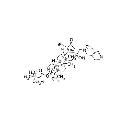 CC(C)C1=C2[C@H]3CC[C@@H]4[C@@]5(C)CC[C@H](OC(=O)CC(C)(C)C(=O)O)C(C)(C)[C@H]5CC[C@@]4(C)[C@]3(C)CC[C@@]2([C@@H](O)CN(C)Cc2ccncc2)CC1=O